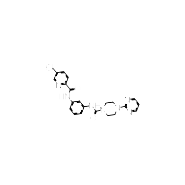 O=C(Nc1cccc(NC(=O)N2CCN(c3ncccn3)CC2)c1)c1ccc(Cl)cn1